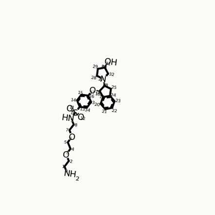 NCCOCCOCCNS(=O)(=O)c1ccc(O[C@H]2c3ccccc3C[C@@H]2N2CC[C@@H](O)C2)cc1